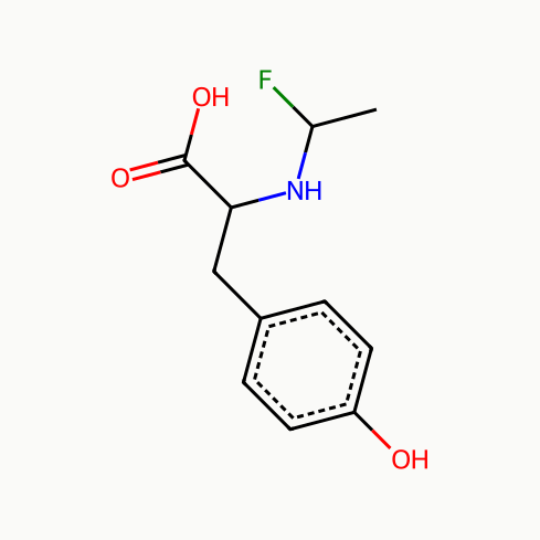 CC(F)NC(Cc1ccc(O)cc1)C(=O)O